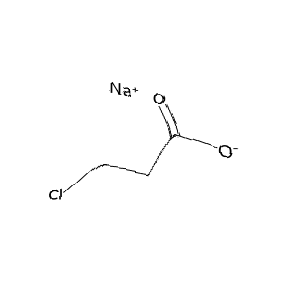 O=C([O-])CCCl.[Na+]